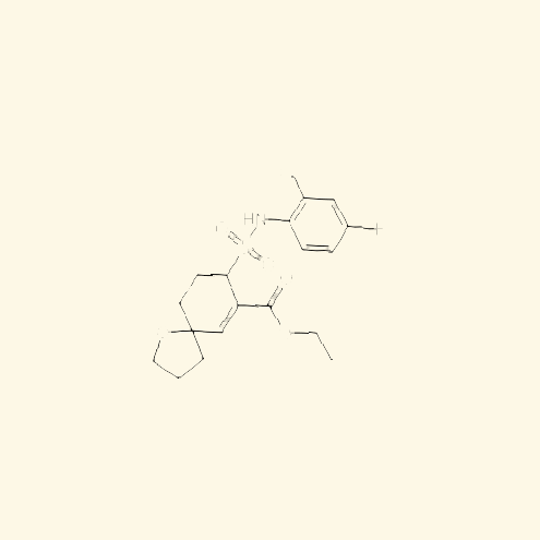 CCOC(=O)C1=CC2(CCCO2)CCC1S(=O)(=O)Nc1ccc(F)cc1Cl